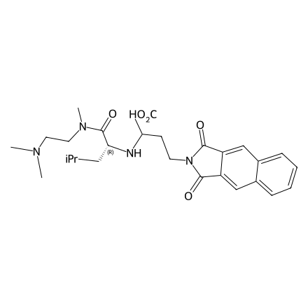 CC(C)C[C@@H](NC(CCN1C(=O)c2cc3ccccc3cc2C1=O)C(=O)O)C(=O)N(C)CCN(C)C